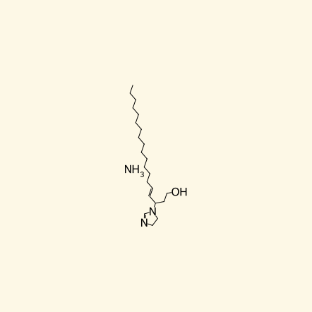 CCCCCCCCCCCCCCC=CC(CCO)N1C=NCC1.N